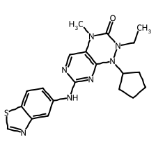 CCN1C(=O)N(C)c2cnc(Nc3ccc4scnc4c3)nc2N1C1CCCC1